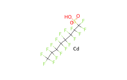 O=S(=O)(O)C(F)(F)C(F)(F)C(F)(F)C(F)(F)C(F)(F)C(F)(F)C(F)(F)C(F)(F)F.[Cd]